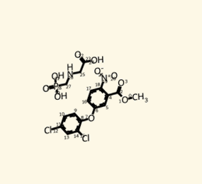 COC(=O)c1cc(Oc2ccc(Cl)cc2Cl)ccc1[N+](=O)[O-].O=C(O)CNCP(=O)(O)O